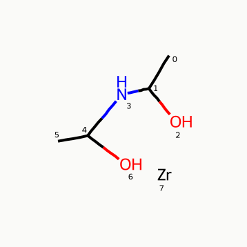 CC(O)NC(C)O.[Zr]